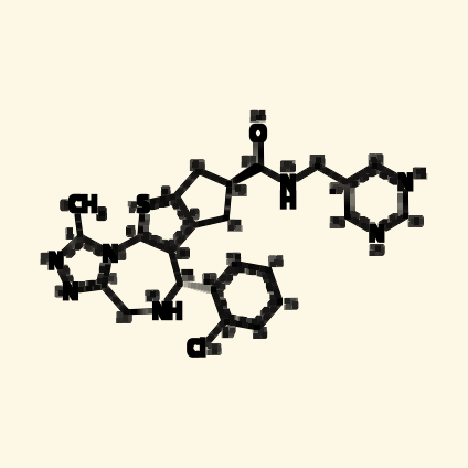 Cc1nnc2n1-c1sc3c(c1[C@H](c1ccccc1Cl)NC2)C[C@H](C(=O)NCc1cncnc1)C3